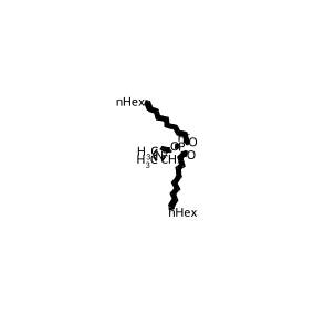 CCCCCCC=CCCCCCCCC(=O)[PH-](OCC[N+](C)(C)C)C(=O)CCCCCCCC=CCCCCCC